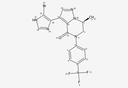 C[C@H]1CN(c2ccc(C(F)(F)F)cc2)C(=O)c2c(-c3nc[nH]c3Br)cnn21